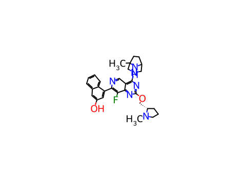 CN1CCC[C@H]1COc1nc(N2CC3CCC(C)(C2)N3)c2cnc(-c3cc(O)cc4ccccc34)c(F)c2n1